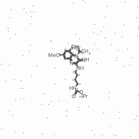 COc1cc(C)c2c(c1)nc(NCCCCNC(=O)OC(C)C)c(=N)n2C(C)=N